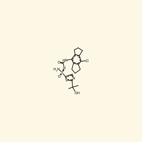 CC(C)(O)c1ncc(S(N)(=O)=NC(=O)Nc2c3c(c(Cl)c4c2CCC4)CCC3)s1